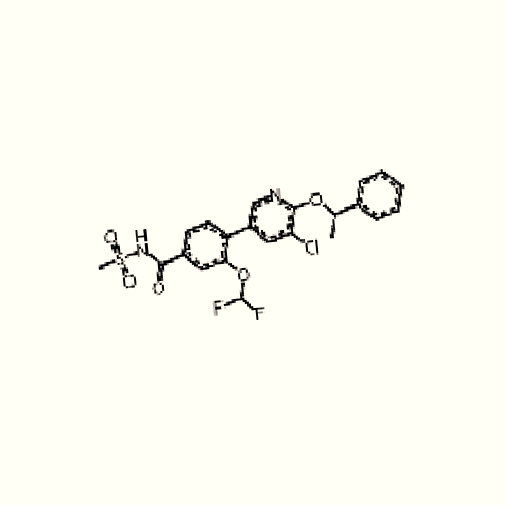 C[C@@H](Oc1ncc(-c2ccc(C(=O)NS(C)(=O)=O)cc2OC(F)F)cc1Cl)c1ccccc1